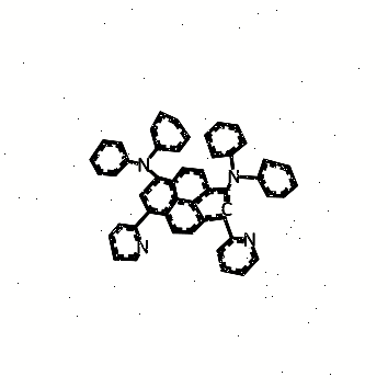 c1ccc(N(c2ccccc2)c2cc(-c3ccccn3)c3ccc4c(-c5ccccn5)cc(N(c5ccccc5)c5ccccc5)c5ccc2c3c45)cc1